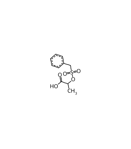 CC(OS(=O)(=O)Cc1ccccc1)C(=O)O